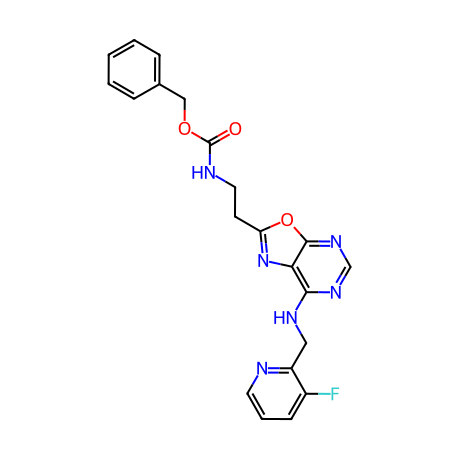 O=C(NCCc1nc2c(NCc3ncccc3F)ncnc2o1)OCc1ccccc1